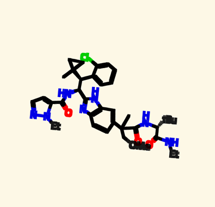 CCNC(=O)[C@H](NC(=O)C(C)(COC)c1ccc2nc([C@@H](NC(=O)c3ccnn3CC)[C@H](c3ccccc3Cl)C3(C)CC3)[nH]c2c1)C(C)(C)C